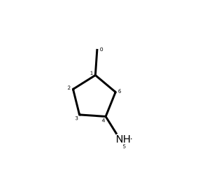 CC1CCC([NH])C1